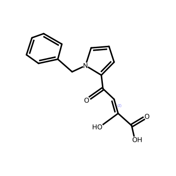 O=C(O)/C(O)=C/C(=O)c1cccn1Cc1ccccc1